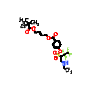 CCC(C)(C)C(=O)OCCCCOC(=O)c1ccc(OS(=O)(=O)C(CNCC(F)(F)F)C(F)(F)C(F)F)cc1